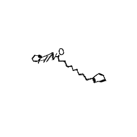 O=C(CCCCCCCCCc1ccccc1)NCc1ccccc1